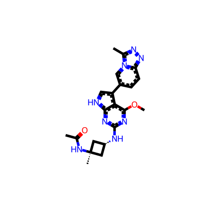 COc1nc(N[C@H]2C[C@](C)(NC(C)=O)C2)nc2[nH]cc(-c3ccc4nnc(C)n4c3)c12